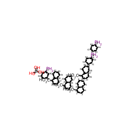 O=C(O)c1cccc2ccccc12.O=C(O)c1cccc2ccccc12.O=C(O)c1cccc2ccccc12.O=C(O)c1cccc2ccccc12.OB(O)O.Pc1ccccc1.Pc1ccccc1.Pc1ccccc1